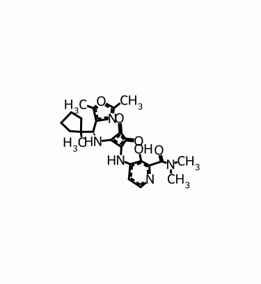 Cc1nc([C@H](Nc2c(Nc3ccnc(C(=O)N(C)C)c3O)c(=O)c2=O)C2(C)CCCC2)c(C)o1